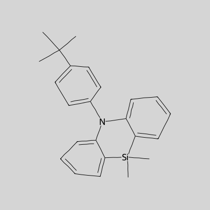 CC(C)(C)c1ccc(N2c3ccccc3[Si](C)(C)c3ccccc32)cc1